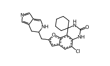 O=C1Nc2c(Cl)cc3cc(CC4CC5=CN=CC5=CN4)oc3c2C2(CCCCC2)N1